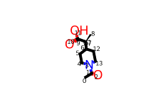 CC(=O)N1CCC([C@H](C)C(=O)O)CC1